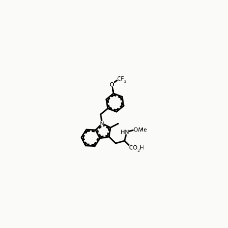 CONC(Cc1c(C)n(Cc2cccc(OC(F)(F)F)c2)c2ccccc12)C(=O)O